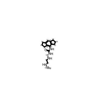 CC(C)(C)NCCNSNC(=O)Nc1c2c(cc3c1CCC3)CCC2